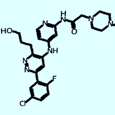 CN1CCN(CC(=O)Nc2cc(Nc3cc(-c4cc(Cl)ccc4F)nnc3CCCO)ccn2)CC1